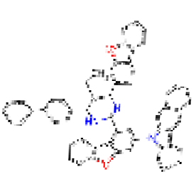 CCC1=C(c2ccc3c(c2)oc2ccccc23)N=C(c2cc(-n3c4ccccc4c4cc5ccccc5cc43)cc3oc4ccccc4c23)NC1c1ccc(-c2ccccc2)cc1